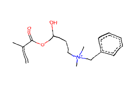 C=C(C)C(=O)OC(O)CC[N+](C)(C)Cc1ccccc1